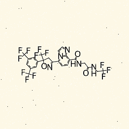 O=C(CNC(=O)c1ccc(C2=NOC(c3cc(C(F)(F)F)cc(C(F)(F)F)c3)(C(F)(F)F)C2)n2ccnc12)NCC(F)(F)F